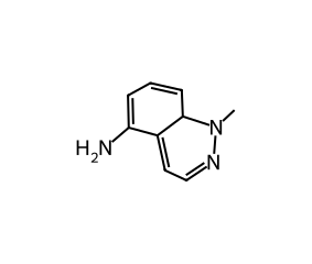 CN1N=CC=C2C(N)=CC=CC21